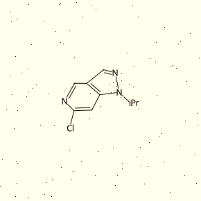 CC(C)n1ncc2cnc(Cl)cc21